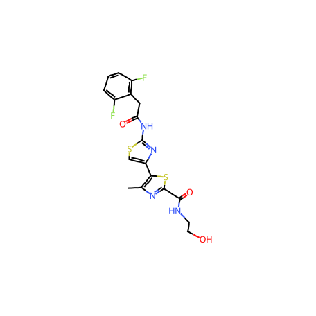 Cc1nc(C(=O)NCCO)sc1-c1csc(NC(=O)Cc2c(F)cccc2F)n1